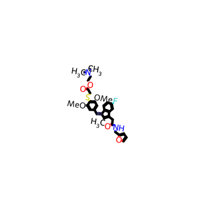 COc1cc(/C=C2/C(C)=C(CC(=O)NCc3ccco3)c3cc(F)ccc32)cc(OC)c1SCC(=O)OCCN(C)C